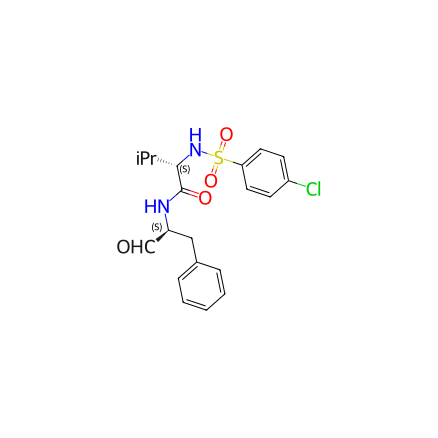 CC(C)[C@H](NS(=O)(=O)c1ccc(Cl)cc1)C(=O)N[C@H](C=O)Cc1ccccc1